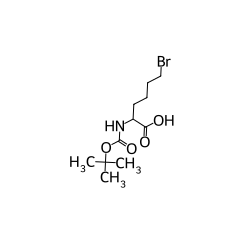 CC(C)(C)OC(=O)NC(CCCCBr)C(=O)O